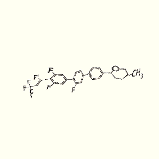 CC1CCC(c2ccc(-c3ccc(-c4cc(F)c(/C(F)=C/C(F)(F)F)c(F)c4)c(F)c3)cc2)OC1